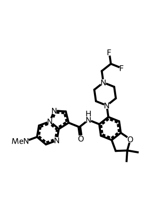 CNc1cnc2c(C(=O)Nc3cc4c(cc3N3CCN(CC(F)F)CC3)OC(C)(C)C4)cnn2c1